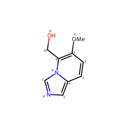 COc1ccc2cncn2c1CO